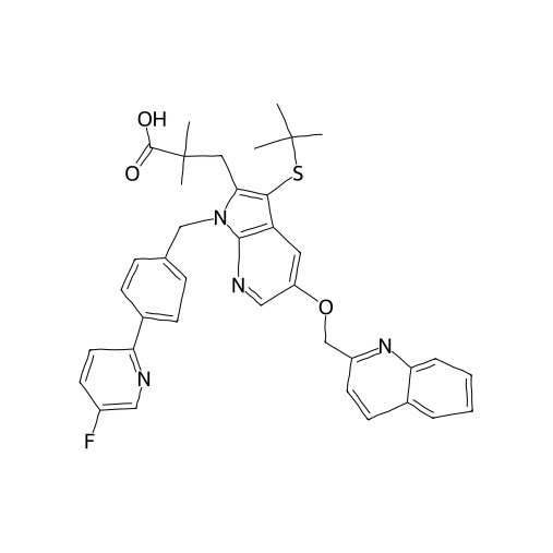 CC(C)(C)Sc1c(CC(C)(C)C(=O)O)n(Cc2ccc(-c3ccc(F)cn3)cc2)c2ncc(OCc3ccc4ccccc4n3)cc12